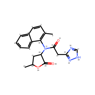 Cc1ccc2ccccc2c1N(C(=O)Cc1nc[nH]n1)C1CC(C)OC1=O